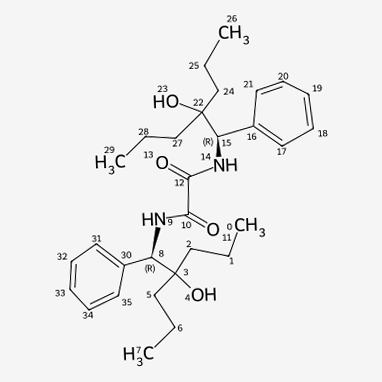 CCCC(O)(CCC)[C@H](NC(=O)C(=O)N[C@H](c1ccccc1)C(O)(CCC)CCC)c1ccccc1